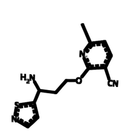 Cc1ccc(C#N)c(OCCC(N)c2ccns2)n1